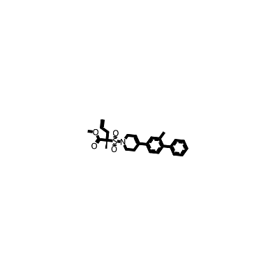 C=CC[C@@](C)(C(=O)OC)S(=O)(=O)N1CC=C(c2ccc(-c3ccccc3)c(C)c2)CC1